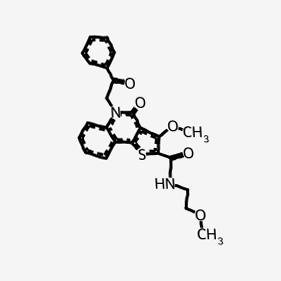 COCCNC(=O)c1sc2c(c1OC)c(=O)n(CC(=O)c1ccccc1)c1ccccc21